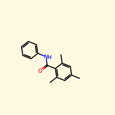 Cc1cc(C)c(C(=O)Nc2ccccc2)c(C)c1